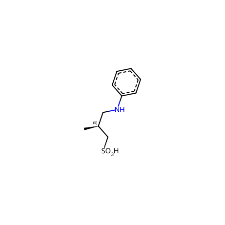 C[C@@H](CNc1ccccc1)CS(=O)(=O)O